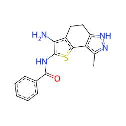 Cc1n[nH]c2c1-c1sc(NC(=O)c3ccccc3)c(N)c1CC2